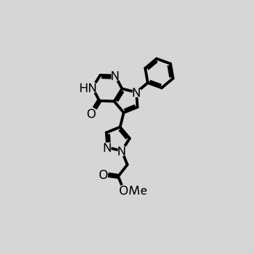 COC(=O)Cn1cc(-c2cn(-c3ccccc3)c3nc[nH]c(=O)c23)cn1